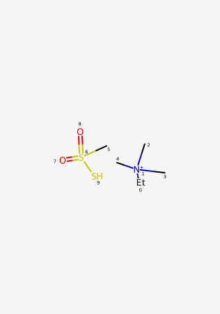 CC[N+](C)(C)C.CS(=O)(=O)S